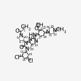 C=CC(=O)N1CC[C@H](N2C(=O)N(c3cc(Cl)cc(Cl)c3)Cc3cnc(Nc4ccc(N5CCN(C)CC5)cc4OC)nc32)C1